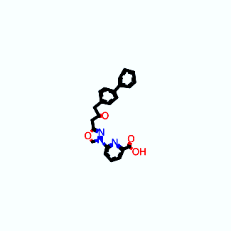 O=C(CC1=NN(c2cccc(C(=O)O)n2)CO1)Cc1ccc(-c2ccccc2)cc1